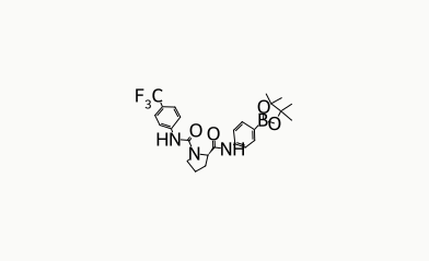 CC1(C)OB(c2ccc(NC(=O)[C@H]3CCCN3C(=O)Nc3ccc(C(F)(F)F)cc3)cc2)OC1(C)C